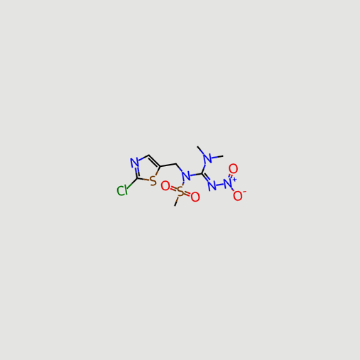 CN(C)/C(=N\[N+](=O)[O-])N(Cc1cnc(Cl)s1)S(C)(=O)=O